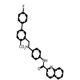 O=C(Nc1ccc(CCc2cc(-c3ccc(F)cc3)ccc2C(=O)O)cc1)c1ccc2ccccc2n1